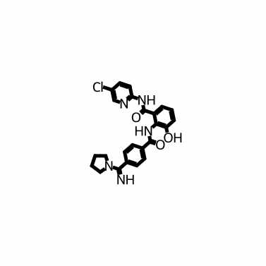 N=C(c1ccc(C(=O)Nc2c(O)cccc2C(=O)Nc2ccc(Cl)cn2)cc1)N1CCCC1